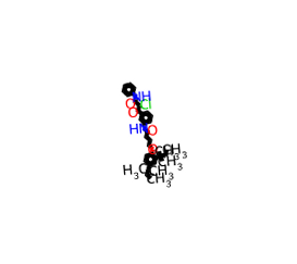 CCC(C)(C)c1ccc(OCCCC(=O)Nc2cccc(C(=O)C(Cl)C(=O)Nc3ccccc3)c2)c(C(C)(C)CC)c1